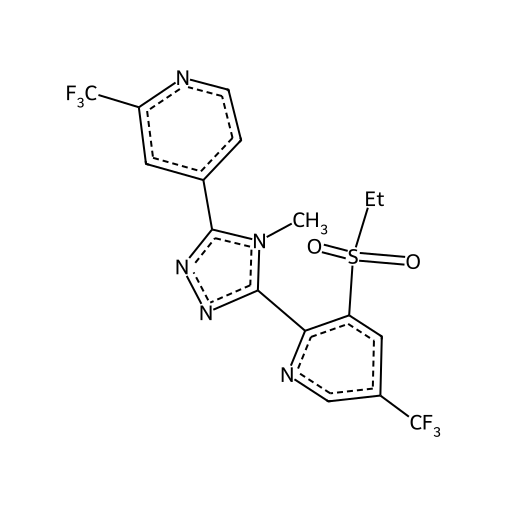 CCS(=O)(=O)c1cc(C(F)(F)F)cnc1-c1nnc(-c2ccnc(C(F)(F)F)c2)n1C